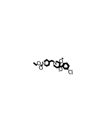 CCOC(=O)N1CCC(CN2CCC(OC)(c3cc(Cl)ccc3OC)CC2)CC1